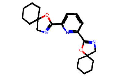 c1cc(C2=NCC3(CCCCC3)O2)nc(C2=NCC3(CCCCC3)O2)c1